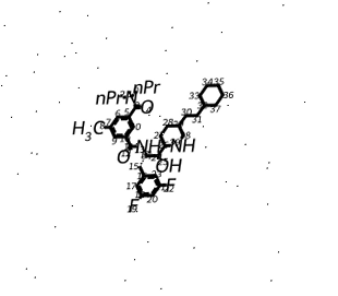 CCCN(CCC)C(=O)c1cc(C)cc(C(=O)N[C@@H](Cc2cc(F)cc(F)c2)C(O)C2CCC(CCC3CCCCC3)CN2)c1